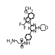 COc1cccc2c1nc(C(F)F)n2-c1nc(-c2ccc(NS(=O)(=O)CCN)cc2)nc(N2CCOCC2)n1